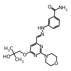 CC(C)(O)COc1cc(C=NNc2cccc(C(N)=O)c2)nc(N2CCOCC2)n1